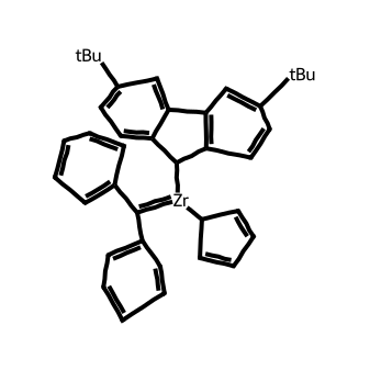 CC(C)(C)c1ccc2c(c1)-c1cc(C(C)(C)C)ccc1[CH]2[Zr](=[C](c1ccccc1)c1ccccc1)[CH]1C=CC=C1